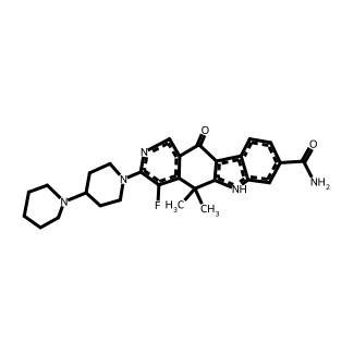 CC1(C)c2[nH]c3cc(C(N)=O)ccc3c2C(=O)c2cnc(N3CCC(N4CCCCC4)CC3)c(F)c21